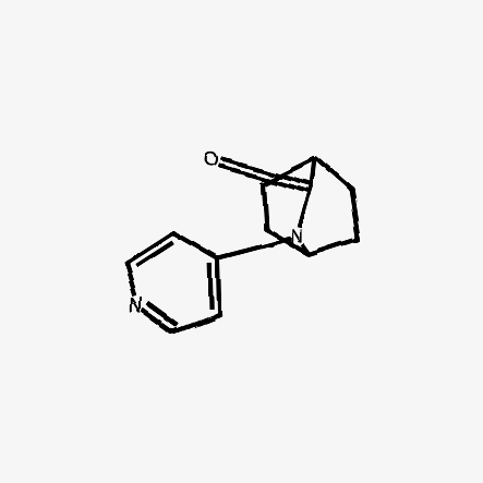 O=C1C2CCC(CC2)N1c1ccncc1